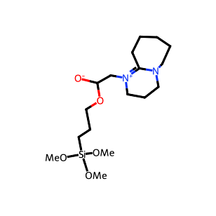 CO[Si](CCCOC([O-])C[N+]1=C2CCCCCN2CCC1)(OC)OC